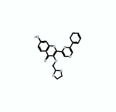 O=c1c(OCC2OCCO2)c(C2=COC=C(C3=CC=CCC3)O2)oc2cc(O)ccc12